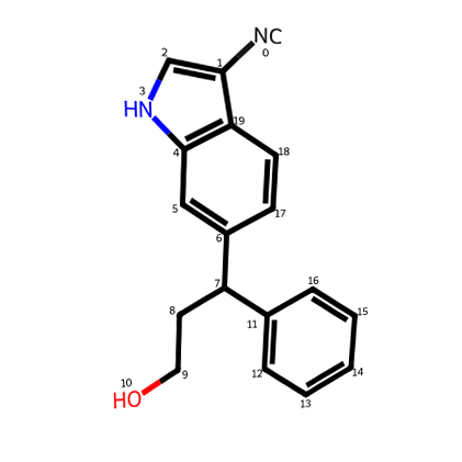 [C-]#[N+]c1c[nH]c2cc(C(CCO)c3ccccc3)ccc12